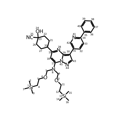 C[Si](C)(C)CCOCN(COCC[Si](C)(C)C)c1cc(C2CCC(O)(C#N)CC2)nc2c(-c3ccc(-c4ccccc4)nc3)cnn12